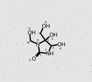 O=C1NC(O)C(O)(CO)N1CO